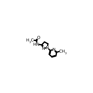 CC(=O)NC1=NN(c2cccc(C)n2)CC1